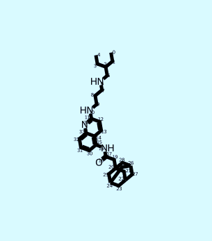 CCC(CC)CNCCCNc1ccc2c(NC(=O)CC34CC5CC(CC(C5)C3)C4)cccc2n1